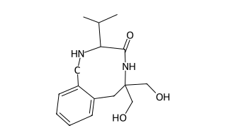 CC(C)C1NCc2ccccc2CC(CO)(CO)NC1=O